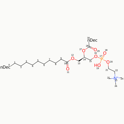 CCCCCCCCCCCCCCCCCCCC(=O)OC[C@H](COP(=O)(O)OCC[N+](C)(C)C)OC(=O)CCCCCCCCCC